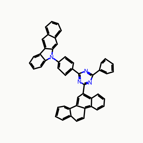 c1ccc(-c2nc(-c3ccc(-n4c5ccccc5c5cc6ccccc6cc54)cc3)nc(-c3cc4c5ccccc5ccc4c4ccccc34)n2)cc1